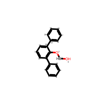 OBOc1c(-c2ccccc2)cccc1-c1ccccc1